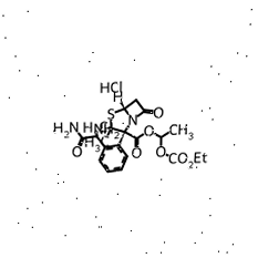 CCOC(=O)OC(C)OC(=O)[C@@]1(c2ccccc2C(N)C(N)=O)N2C(=O)C[C@H]2SC1(C)C.Cl